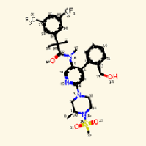 C[C@H]1CN(c2cc(-c3ccccc3CO)c(N(C)C(=O)C(C)(C)c3cc(C(F)(F)F)cc(C(F)(F)F)c3)cn2)CCN1S(C)(=O)=O